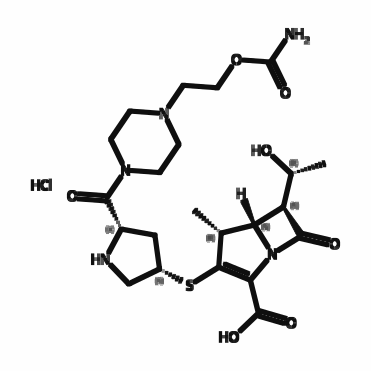 C[C@@H](O)[C@H]1C(=O)N2C(C(=O)O)=C(S[C@@H]3CN[C@H](C(=O)N4CCN(CCOC(N)=O)CC4)C3)[C@H](C)[C@H]12.Cl